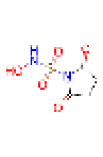 O=C1CCC(=O)N1S(=O)(=O)NO